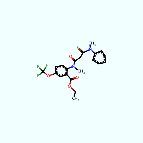 CCOC(=O)c1cc(OC(F)(F)F)ccc1N(C)C(=O)CC(=S)N(C)c1ccccc1